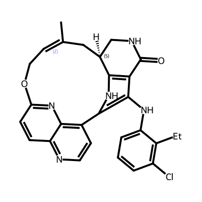 CCc1c(Cl)cccc1Nc1c2[nH]c3c1C(=O)NC[C@@H]3C/C(C)=C\COc1ccc3nccc-2c3n1